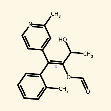 Cc1cc(/C(=C(/OC=O)C(C)O)c2ccccc2C)ccn1